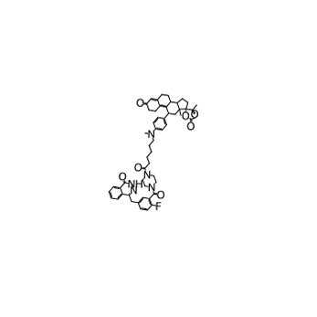 CC(=O)OC1(C(C)=O)CCC2C3CCC4=CC(=O)CCC4=C3C(c3ccc(N(C)CCCCCC(=O)N4CCN(C(=O)c5cc(Cc6n[nH]c(=O)c7ccccc67)ccc5F)CC4)cc3)CC21C